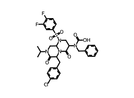 CC(C)N1CC2N(C(=O)C(N(Cc3ccccc3)C(=O)O)CN2S(=O)(=O)c2ccc(F)c(F)c2)C(Cc2ccc(Cl)cc2)C1=O